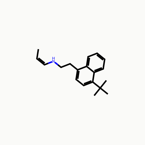 C/C=C\NCCc1ccc(C(C)(C)C)c2ccccc12